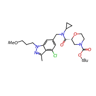 COCCCn1nc(C)c2c(Cl)cc(CN(C(=O)[C@H]3CN(C(=O)OC(C)(C)C)CCO3)C3CC3)cc21